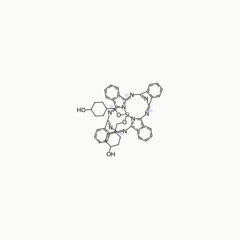 OC1CCC(CO[Si]2(OCC3CCC(O)CC3)n3c4c5ccccc5c3/N=C3N=C(/N=c5/c6ccccc6/c(n52)=N/C2=NC(=N\4)/c4ccccc42)c2ccccc2\3)CC1